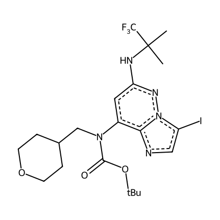 CC(C)(C)OC(=O)N(CC1CCOCC1)c1cc(NC(C)(C)C(F)(F)F)nn2c(I)cnc12